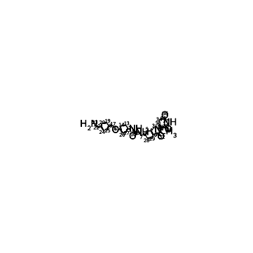 C[C@]1(N2Cc3cc(CNC(=O)Nc4ccc(OCc5ccc(CN)cc5)cc4)ccc3C2=O)CCC(=O)NC1=O